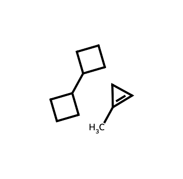 C1CC(C2CCC2)C1.CC1=CC1